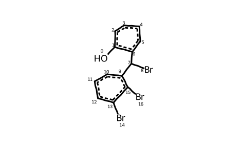 Oc1ccccc1C(Br)c1cccc(Br)c1Br